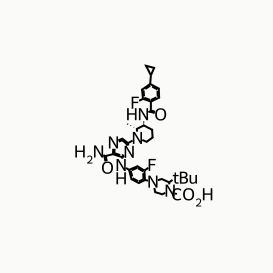 C[C@@H]1[C@H](NC(=O)c2ccc(C3CC3)cc2F)CCCN1c1cnc(C(N)=O)c(Nc2ccc(N3CCN(C(=O)O)C(C(C)(C)C)C3)c(F)c2)n1